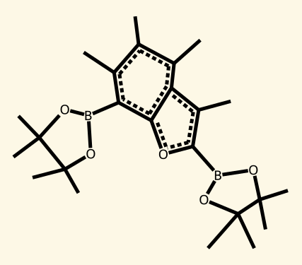 Cc1c(C)c(C)c2c(C)c(B3OC(C)(C)C(C)(C)O3)oc2c1B1OC(C)(C)C(C)(C)O1